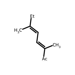 CCC(C)=CC=C(C)C(C)=O